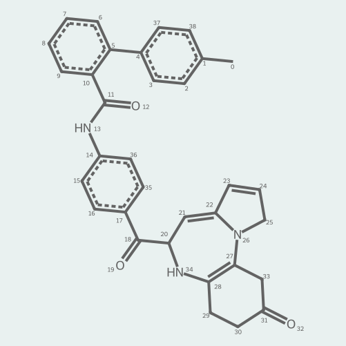 Cc1ccc(-c2ccccc2C(=O)Nc2ccc(C(=O)C3C=C4C=CCN4C4=C(CCC(=O)C4)N3)cc2)cc1